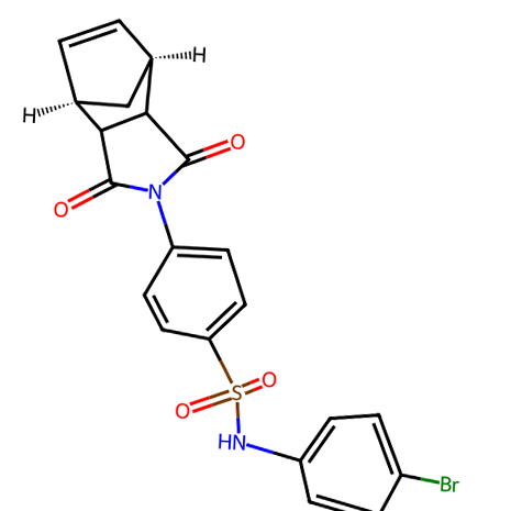 O=C1C2C(C(=O)N1c1ccc(S(=O)(=O)Nc3ccc(Br)cc3)cc1)[C@H]1C=C[C@@H]2C1